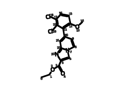 CCOC(=O)c1cn2ccc(-c3c(OC)ccc(Cl)c3Cl)cc2n1